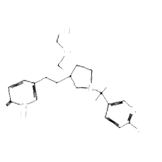 CCOC[C@@]1(CCc2ccc(=O)[nH]c2)CCN(C(C)(C)c2ccc(C)nc2)C1